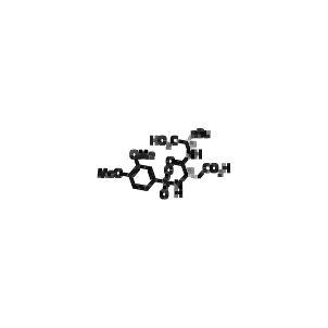 CCCC[C@H](NC(=O)[C@H](CC(=O)O)NS(=O)(=O)c1ccc(OC)c(OC)c1)C(=O)O